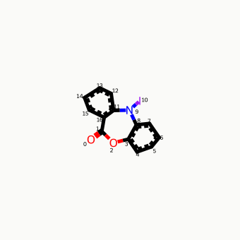 O=C1Oc2ccccc2N(I)c2ccccc21